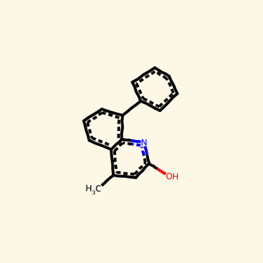 Cc1cc(O)nc2c(-c3ccccc3)cccc12